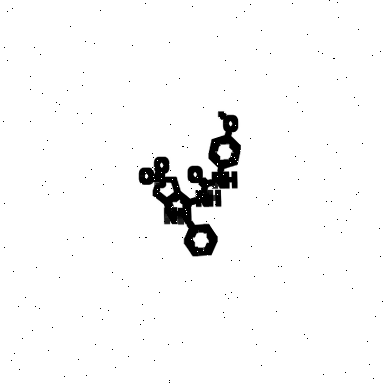 COc1ccc(NC(=O)Nc2c3c(nn2-c2ccccc2)CS(=O)(=O)C3)cc1